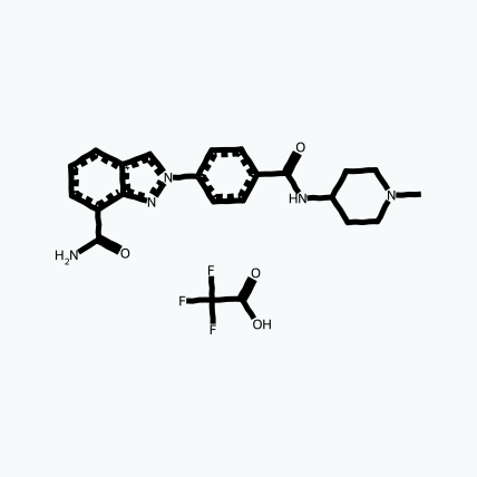 CN1CCC(NC(=O)c2ccc(-n3cc4cccc(C(N)=O)c4n3)cc2)CC1.O=C(O)C(F)(F)F